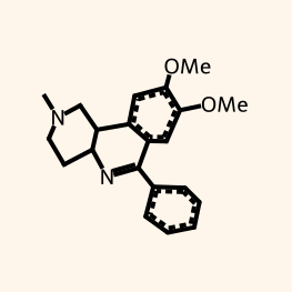 COc1cc2c(cc1OC)C1CN(C)CCC1N=C2c1ccccc1